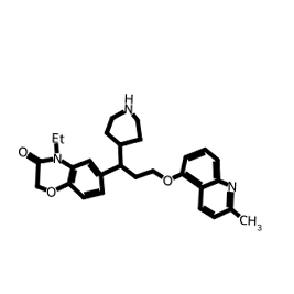 CCN1C(=O)COc2ccc(C(CCOc3cccc4nc(C)ccc34)C3CCNCC3)cc21